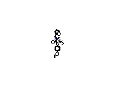 CCOc1ccc(N2C(=O)/C(=C/c3ccco3)SC2=S)cc1